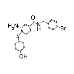 Nc1cc(C(=O)NCc2ccc(Br)cc2)ccc1Sc1ccc(O)cc1